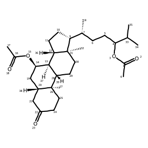 CC(=O)OC(CC[C@@H](C)[C@H]1CC[C@H]2[C@@H]3[C@H](OC(C)=O)C[C@H]4CC(=O)CC[C@]4(C)[C@H]3CC[C@]12C)C(C)C